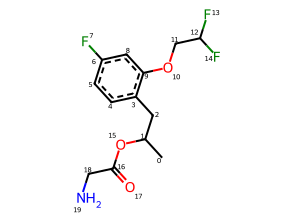 CC(Cc1ccc(F)cc1OCC(F)F)OC(=O)CN